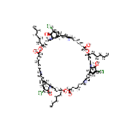 CCCCC[C@H]1C/C=C2/C(=O)C(Cl)=C[C@@H]2C/C=C\CCCC(=O)O[C@@H](CCCCC)C/C=C2/C(=O)C(Cl)=C[C@@H]2C/C=C\CCCC(=O)O[C@@H](CCCCC)C/C=C2/C(=O)C(Cl)=C[C@@H]2C/C=C\CCCC(=O)O1